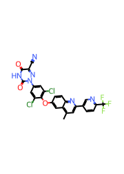 Cc1cc(-c2ccc(C(F)(F)F)nc2)nc2ccc(Oc3c(Cl)cc(-n4nc(C#N)c(=O)[nH]c4=O)cc3Cl)cc12